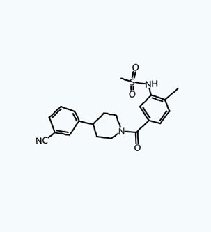 Cc1ccc(C(=O)N2CCC(c3cccc(C#N)c3)CC2)cc1NS(C)(=O)=O